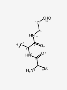 CCC(N)C(=O)NC(C)C(=O)NCOC=O